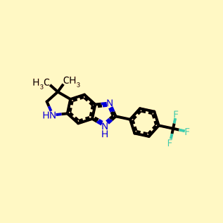 CC1(C)CNc2cc3[nH]c(-c4ccc(C(F)(F)F)cc4)nc3cc21